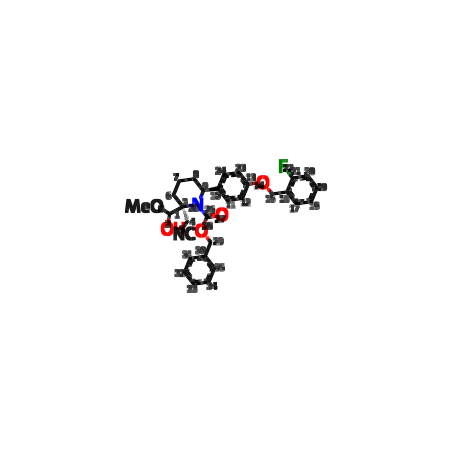 COC(O)[C@@]1(CC#N)CCC[C@@H](c2ccc(OCc3ccccc3F)cc2)N1C(=O)OCc1ccccc1